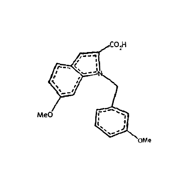 COc1cccc(Cn2c(C(=O)O)cc3ccc(OC)cc32)c1